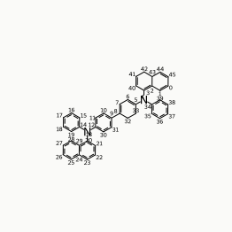 C1=CC2=C(N(C3=CC=C(c4ccc(N(c5ccccc5)c5cccc6ccccc56)cc4)CC3)c3ccccc3)C=CCC2C=C1